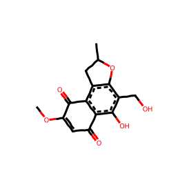 COC1=CC(=O)c2c(O)c(CO)c3c(c2C1=O)CC(C)O3